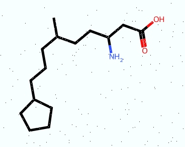 CC(CCCC1CCCC1)CCC(N)CC(=O)O